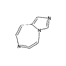 C1=Cn2cncc2C=CN=1